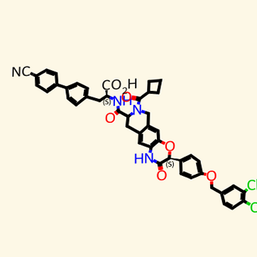 N#Cc1ccc(-c2ccc(C[C@H](NC(=O)C3Cc4cc5c(cc4CN3C(=O)C3CCC3)O[C@@H](c3ccc(OCc4ccc(Cl)c(Cl)c4)cc3)C(=O)N5)C(=O)O)cc2)cc1